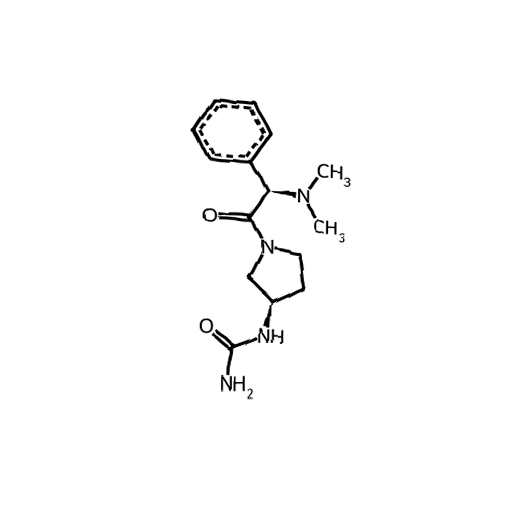 CN(C)[C@@H](C(=O)N1CC[C@@H](NC(N)=O)C1)c1ccccc1